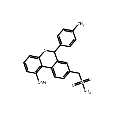 COc1cccc2c1-c1ccc(CS(N)(=O)=O)cc1C(c1ccc(C)cc1)O2